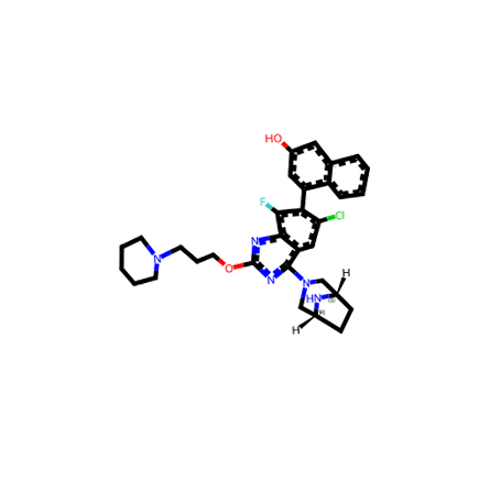 Oc1cc(-c2c(Cl)cc3c(N4C[C@H]5CC[C@@H](C4)N5)nc(OCCCN4CCCCC4)nc3c2F)c2ccccc2c1